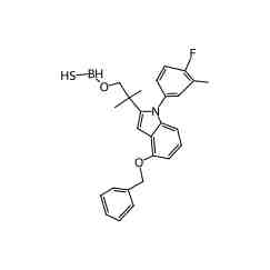 Cc1cc(-n2c(C(C)(C)COBS)cc3c(OCc4ccccc4)cccc32)ccc1F